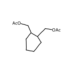 CC(=O)OCC1CCCCC1COC(C)=O